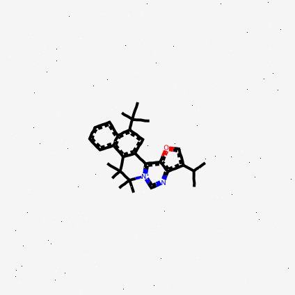 CC(C)c1coc2c3[n+](cnc12)C(C)(C)C(C)(C)c1c-3cc(C(C)(C)C)c2ccccc12